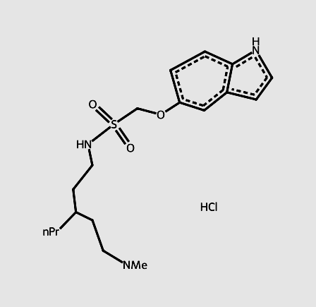 CCCC(CCNC)CCNS(=O)(=O)COc1ccc2[nH]ccc2c1.Cl